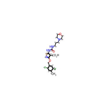 Cc1cc(F)c(COc2nsc(NC(=O)NCCCN3CCOCC3)c2C(=O)O)cc1F